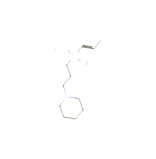 CC=C[Si](CCC)(CCC)CCCN1CCCCC1